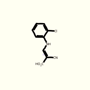 N#C/C(=C\Nc1ccccc1Cl)C(=O)O